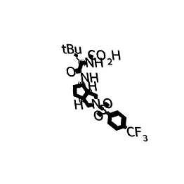 CC(C)(C)C[C@H](NC(=O)O)C(=O)N[C@H]1CC[C@@H]2CN(S(=O)(=O)c3ccc(C(F)(F)F)cc3)C[C@@H]21